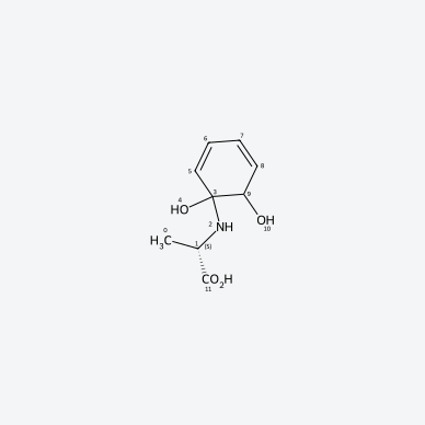 C[C@H](NC1(O)C=CC=CC1O)C(=O)O